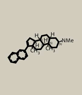 CN[C@H]1CC[C@@]2(C)[C@@H](CC[C@@H]3[C@@H]2CC[C@]2(C)C(c4ccc5ccccc5c4)=CC[C@@H]32)C1